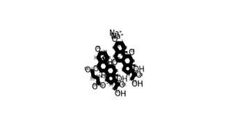 C[C@]12C=CC(=O)C=C1CCC1C2C(=O)C[C@@]2(C)C1CC[C@]2(O)C(=O)CO.C[C@]12C=CC(=O)C=C1CC[C@@H]1C3CC[C@](O)(C(=O)CO)[C@@]3(C)CC(=O)[C@H]12.O=C([O-])CCC(=O)[O-].[Na+].[Na+]